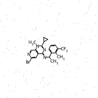 Cc1c(C(C)/N=c2\nc(C3CC3)n(C)c3cnc(Br)cc23)cccc1C(F)(F)F